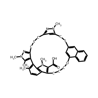 Cc1ccc2c3c(C(=O)O)n(C)c2c1-c1c(nn(C)c1C)CSCc1cc(n(C)n1)CSc1cc(c2ccccc2c1)OCCC3